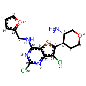 N[C@@H]1COCC[C@H]1c1sc2c(NCc3ccco3)nc(Cl)nc2c1Cl